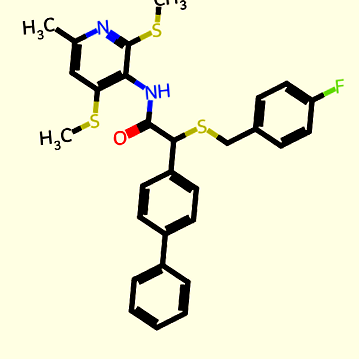 CSc1cc(C)nc(SC)c1NC(=O)C(SCc1ccc(F)cc1)c1ccc(-c2ccccc2)cc1